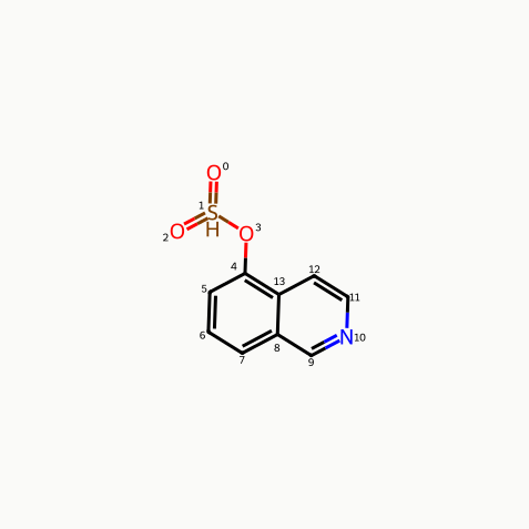 O=[SH](=O)Oc1cccc2cnccc12